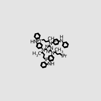 CC(C)CCC(C)N(c1ccc(Nc2ccccc2)cc1)c1nc(N(c2ccc(Nc3ccccc3)cc2)C(C)CCC(C)C)nc(N(c2ccc(Nc3ccccc3)cc2)C(C)CCC(C)C)n1